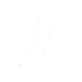 C=C(CCCCCCC(C)C)C(=O)O.C=CCCC(=C)C(=O)O